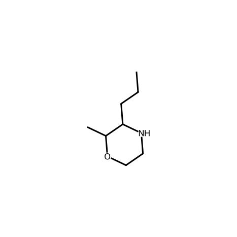 CCCC1NCCOC1C